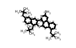 Bc1cc2c3c(cc4c(CC(C)(C)C)cccc42)Sc2c(cc4cc(CC(C)(C)C)ccc4c2CC(C)(C)C)-c3n1